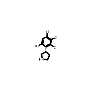 Oc1cc(Cl)c(Cl)c(Cl)c1[C@H]1CCNC1